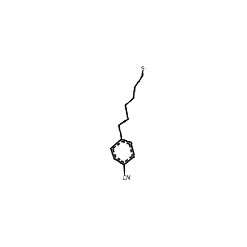 N#Cc1ccc(CCCCCC[S])cc1